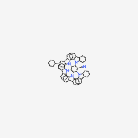 N#Cc1c(-n2c3ccccc3c3ccccc32)c(-n2c3ccccc3c3ccccc32)c(-n2c3ccccc3c3ccccc32)c(-n2c3ccccc3c3cc(-c4ccccc4)ccc32)c1-n1c2ccccc2c2ccccc21